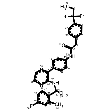 CCC(F)(F)c1ccc(CC(=O)Nc2ccc(-c3nccnc3N[C@@H](C)c3ccc(F)cc3C)cc2)cc1